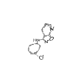 Clc1cccc(Nc2noc3ncccc23)c1